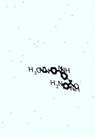 CN1CCN(c2ccc(-c3n[nH]c4cc([C@@H]5C[C@@]56C(=O)Nc5ccc(N)cc56)ccc34)cc2)CC1